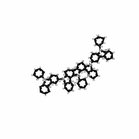 c1ccc(-n2c3ccccc3c3cc(-n4c5ccccc5c5c4ccc4c6ccc7c(c8ncccc8n7-c7ccc8c(c7)c7ccccc7n8-c7ccccc7)c6n(-c6ccccc6)c45)ccc32)cc1